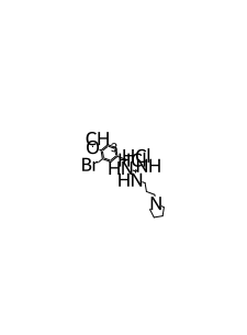 COc1ccc(CNC(=N)NCCCN2CCCC2)cc1Br.Cl.Cl